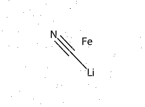 [Fe].[Li][C]#N